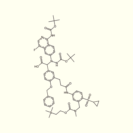 CN(Cc1cc(NC(=O)CCc2cc(C(C(=O)O)N(NC(=O)OC(C)(C)C)c3ccc4c(NC(=O)OC(C)(C)C)ncc(F)c4c3)ccc2OCc2ccccc2)ccc1S(=O)(=O)C1CC1)C(=O)OCC[Si](C)(C)C